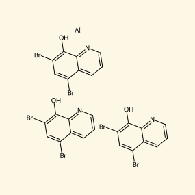 Oc1c(Br)cc(Br)c2cccnc12.Oc1c(Br)cc(Br)c2cccnc12.Oc1c(Br)cc(Br)c2cccnc12.[Al]